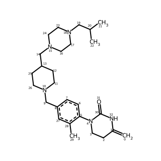 C=C1CCN(c2ccc(CN3CCC(CN4CCN(CC(C)C)CC4)CC3)cc2C)C(=O)N1